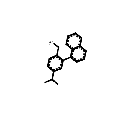 CC(C)c1ccc(CBr)c(-c2cccc3ccccc23)c1